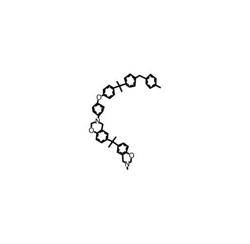 Cc1ccc(Cc2ccc(C(C)(C)c3ccc(Oc4ccc(N5COc6ccc(C(C)(C)c7ccc8c(c7)CN(C)CO8)cc6C5)cc4)cc3)cc2)cc1